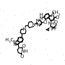 Cn1nc(C2CCC(=O)NC2=O)c2ccc(C3CCN(CC4CCN(c5ncc(Cl)c(Nc6ccc7c(c6)c6c(c(=O)n7C)OCC(F)(F)[C@H](C7CC7)N6)n5)CC4)CC3)cc21